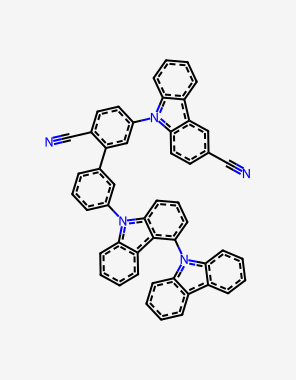 N#Cc1ccc2c(c1)c1ccccc1n2-c1ccc(C#N)c(-c2cccc(-n3c4ccccc4c4c(-n5c6ccccc6c6ccccc65)cccc43)c2)c1